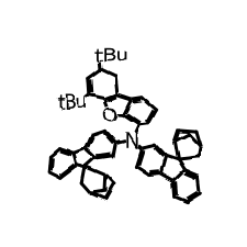 CC(C)(C)C1=CC(C(C)(C)C)Cc2c1oc1c(N(c3ccc4c(c3)C3(CC5CCC3C5)c3ccccc3-4)c3ccc4c(c3)C3(CC5CCC3C5)c3ccccc3-4)cccc21